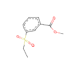 CCS(=O)(=O)c1cccc(C(=O)OC)c1